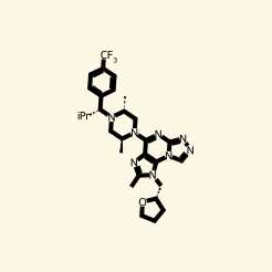 Cc1nc2c(N3C[C@@H](C)N([C@@H](c4ccc(C(F)(F)F)cc4)C(C)C)C[C@@H]3C)nc3nncn3c2n1C[C@@H]1CCCO1